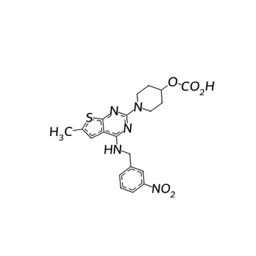 Cc1cc2c(NCc3cccc([N+](=O)[O-])c3)nc(N3CCC(OC(=O)O)CC3)nc2s1